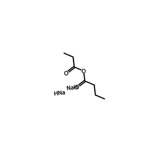 CCCC(=O)OC(=O)CC.[NaH].[NaH]